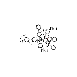 CC(C)(C)c1ccc(N2B3c4cc5oc(-c6ccccc6)c(-c6ccccc6)c5cc4N(c4ccc(C(C)(C)C)cc4-c4ccccc4)c4c3c(cc3c4oc4ccccc43)-c3cc4c(cc32)C(C)(C)c2cc3c(cc2-4)C(C)(C)CCC3(C)C)cc1